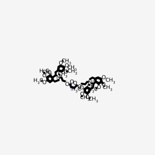 COc1cc(CC2c3c(cc(OC)c(OC)c3OC)CC[N+]2(C)CCCOC(=O)/C=C\C(=O)OCCC[N+]2(C)CCc3cc(OC)c(OC)c(OC)c3C2Cc2cc(OC)c(OC)c(OC)c2)cc(OC)c1OC